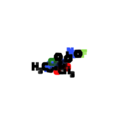 C[C@H]1C(=O)N(c2ccc3c(cnn3-c3ccc(F)cc3)c2)[C@H](c2ccccc2Cl)[C@H]1NC(=O)c1ccn(C)n1